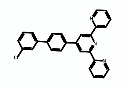 Clc1cccc(-c2ccc(-c3cc(-c4ccccn4)nc(-c4ccccn4)c3)cc2)c1